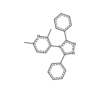 Cc1ccc(-n2c(-c3ccccc3)nnc2-c2ccccc2)c(C)n1